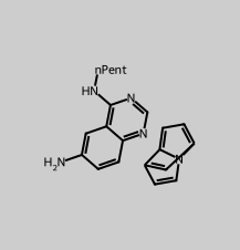 CCCCCNc1ncnc2ccc(N)cc12.c1cn2c3ccc2c1c3